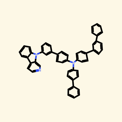 c1ccc(-c2ccc(N(c3ccc(-c4cccc(-c5ccccc5)c4)cc3)c3ccc(-c4cccc(-n5c6ccccc6c6ccncc65)c4)cc3)cc2)cc1